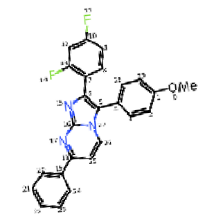 COc1ccc(-c2c(-c3ccc(F)cc3F)nc3nc(-c4ccccc4)ccn23)cc1